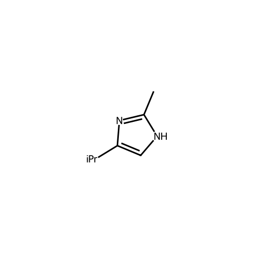 Cc1nc(C(C)C)c[nH]1